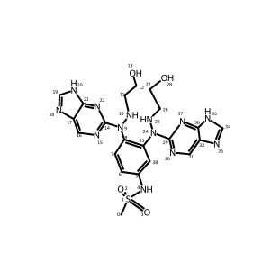 CS(=O)(=O)Nc1ccc(N(NCCO)c2ncc3nc[nH]c3n2)c(N(NCCO)c2ncc3nc[nH]c3n2)c1